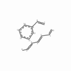 C=CC=CC=CC.C=Cc1ccccc1